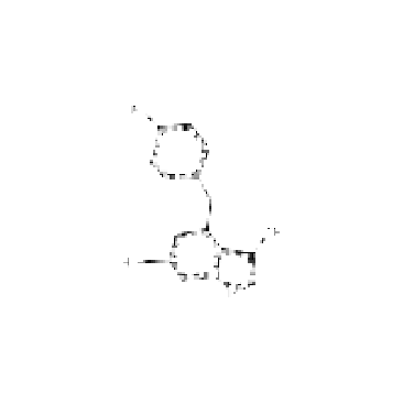 Bc1cc(Cc2ccc(C(C)C)cc2)c2c(C#N)cnn2c1